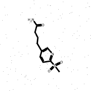 CS(=O)(=O)c1ccc([CH]CCC(N)=O)cn1